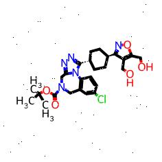 CC(C)(C)OC(=O)N1Cc2cc(Cl)ccc2-n2c(nnc2[C@H]2CC[C@H](c3noc(CO)c3CO)CC2)C1